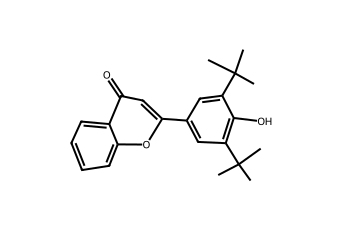 CC(C)(C)c1cc(-c2cc(=O)c3ccccc3o2)cc(C(C)(C)C)c1O